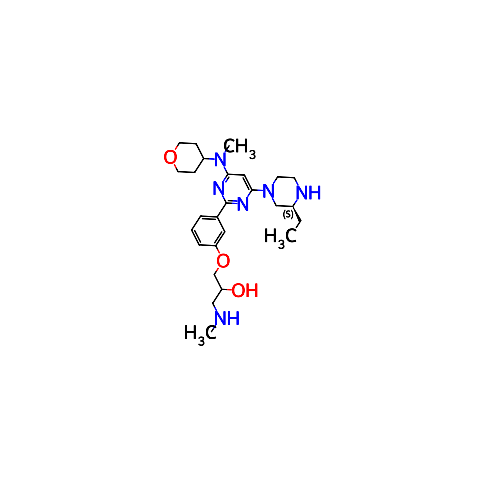 CC[C@H]1CN(c2cc(N(C)C3CCOCC3)nc(-c3cccc(OCC(O)CNC)c3)n2)CCN1